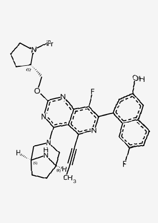 CC#Cc1nc(-c2cc(O)cc3ccc(F)cc23)c(F)c2nc(OC[C@@H]3CCCN3C(C)C)nc(N3C[C@H]4CC[C@@H](C3)N4)c12